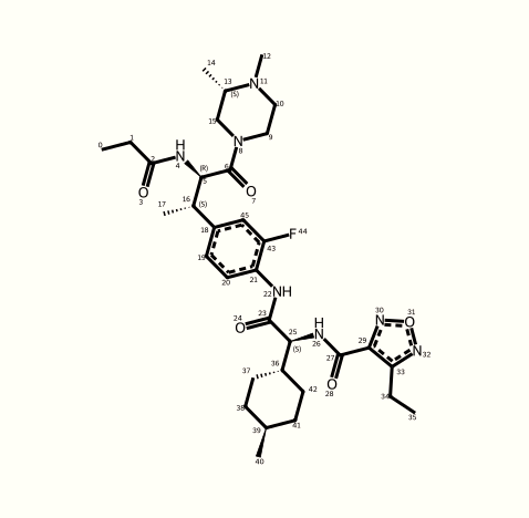 CCC(=O)N[C@@H](C(=O)N1CCN(C)[C@@H](C)C1)[C@@H](C)c1ccc(NC(=O)[C@@H](NC(=O)c2nonc2CC)[C@H]2CC[C@H](C)CC2)c(F)c1